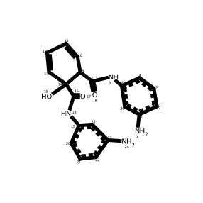 Nc1cccc(NC(=O)C2C=CC=CC2(O)C(=O)Nc2cccc(N)c2)c1